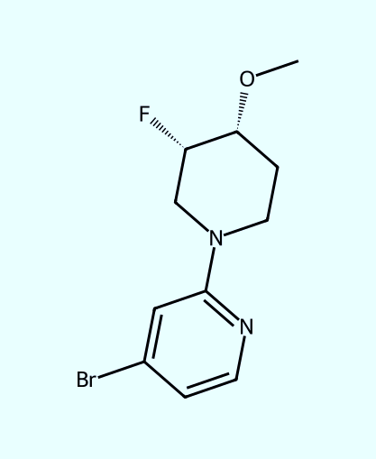 CO[C@@H]1CCN(c2cc(Br)ccn2)C[C@@H]1F